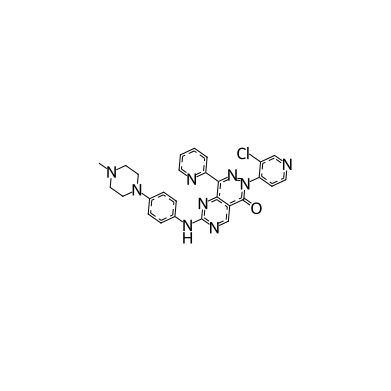 CN1CCN(c2ccc(Nc3ncc4c(=O)n(-c5ccncc5Cl)nc(-c5ccccn5)c4n3)cc2)CC1